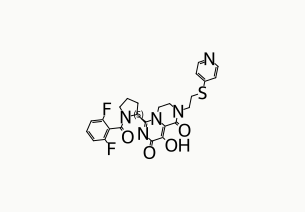 O=C1c2c(O)c(=O)nc([C@@H]3CCCN3C(=O)c3c(F)cccc3F)n2CCN1CCSc1ccncc1